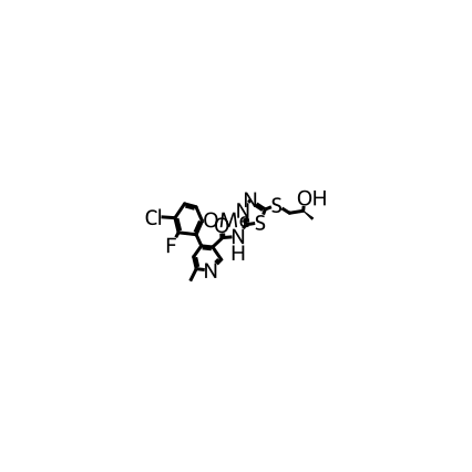 COc1ccc(Cl)c(F)c1-c1cc(C)ncc1C(=O)Nc1nnc(SC[C@H](C)O)s1